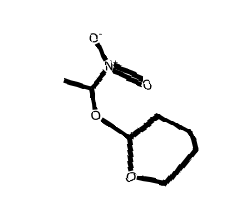 CC(OC1CCCCO1)[N+](=O)[O-]